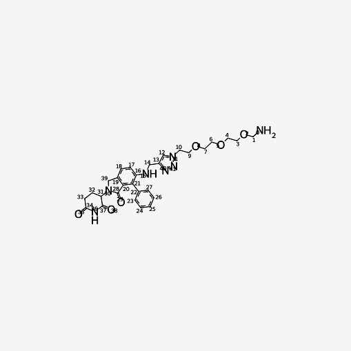 NCOCCOCCOCCn1cc(CNc2ccc3c(c2-c2ccccc2)C(=O)N(C2CCC(=O)NC2=O)C3)nn1